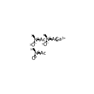 CC(=O)N(C)[O-].CC(=O)N(C)[O-].CC(=O)N(C)[O-].[Ga+3]